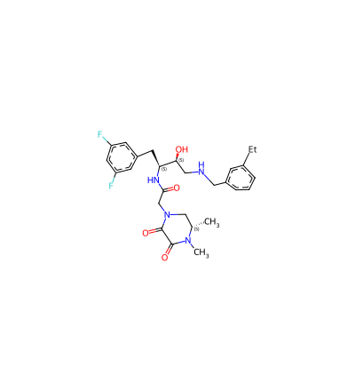 CCc1cccc(CNC[C@H](O)[C@H](Cc2cc(F)cc(F)c2)NC(=O)CN2C[C@H](C)N(C)C(=O)C2=O)c1